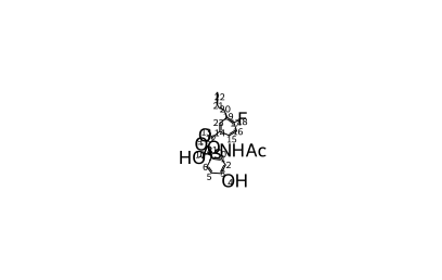 CC(=O)Nc1cc(O)ccc1[As](=O)(O)OC(=O)c1ccc(F)c(CCI)c1